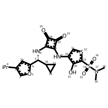 CC(C)c1coc([C@H](Nc2c(Nc3csc(S(=O)(=O)N(C)C)c3O)c(=O)c2=O)C2CC2)c1